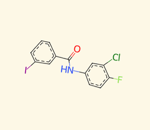 O=C(Nc1ccc(F)c(Cl)c1)c1cccc(I)c1